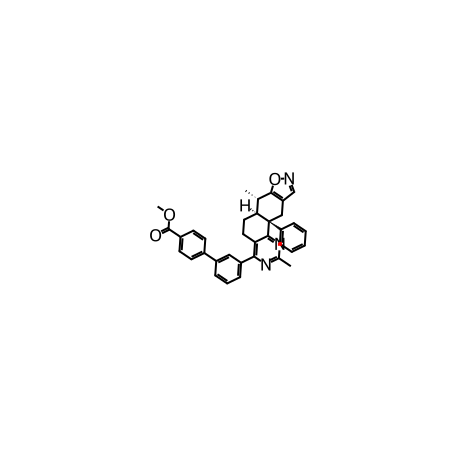 COC(=O)c1ccc(-c2cccc(-c3nc(C)nc4c3CC[C@H]3[C@H](C)c5oncc5C[C@]43c3ccccc3)c2)cc1